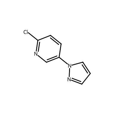 Clc1ccc(-n2cccn2)cn1